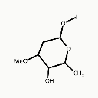 COC1CC(OI)OC(C)C1O